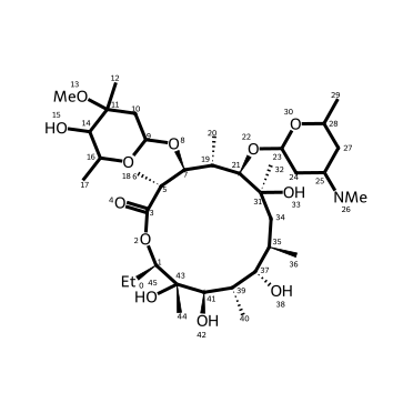 CC[C@H]1OC(=O)[C@H](C)[C@@H](OC2CC(C)(OC)C(O)C(C)O2)[C@H](C)[C@@H](OC2CC(NC)CC(C)O2)[C@@](C)(O)C[C@@H](C)[C@H](O)[C@H](C)[C@@H](O)[C@]1(C)O